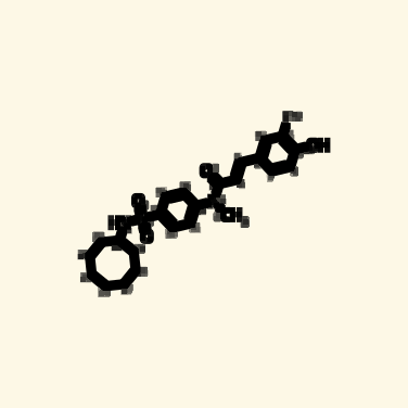 CN(C(=O)/C=C/c1ccc(O)c(F)c1)c1ccc(S(=O)(=O)NC2CCCCCCC2)cc1